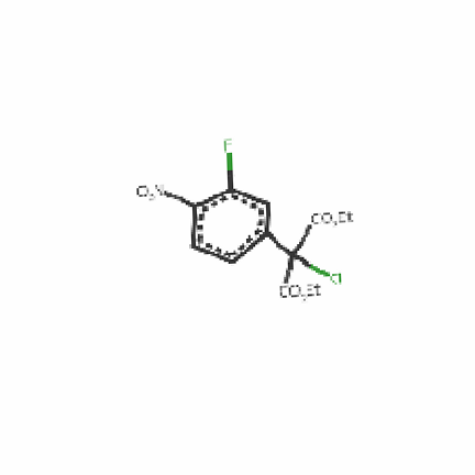 CCOC(=O)C(Cl)(C(=O)OCC)c1ccc([N+](=O)[O-])c(F)c1